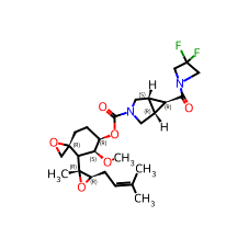 CO[C@H]1C([C@@]2(C)O[C@@H]2CC=C(C)C)[C@]2(CC[C@H]1OC(=O)N1C[C@@H]3[C@H](C1)[C@H]3C(=O)N1CC(F)(F)C1)CO2